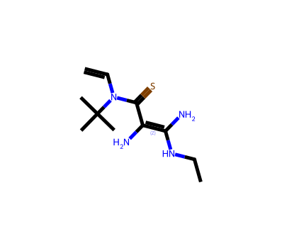 C=CN(C(=S)/C(N)=C(\N)NCC)C(C)(C)C